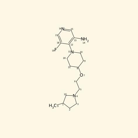 CC1CCN(CCOC2CCN(c3c(N)cncc3F)CC2)C1